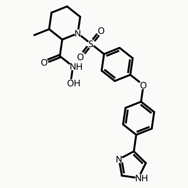 CC1CCCN(S(=O)(=O)c2ccc(Oc3ccc(-c4c[nH]cn4)cc3)cc2)C1C(=O)NO